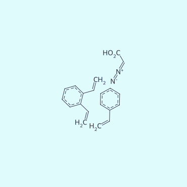 C=Cc1ccccc1.C=Cc1ccccc1C=C.[N-]=[N+]=CC(=O)O